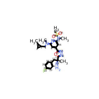 CC1CC1CN(C)c1cc(-c2nnc([C@](C)(N)Cc3ccc(F)cc3)o2)cc(N(C)S(C)(=O)=O)n1